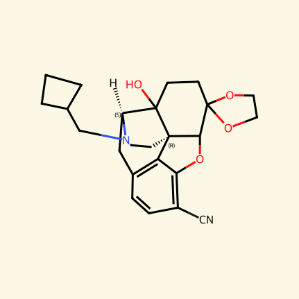 N#Cc1ccc2c3c1OC1C4(CCC5(O)[C@H](C2)N(CC2CCC2)CC[C@@]315)OCCO4